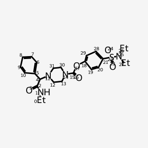 CCNC(=O)C(c1ccccc1)N1CCN(C(=O)Oc2ccc(S(=O)(=O)N(CC)CC)cc2)CC1